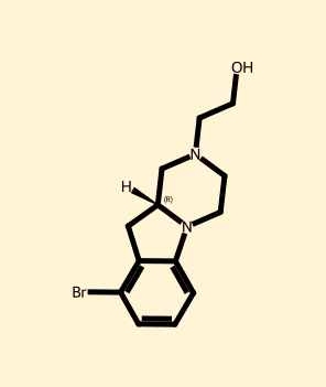 OCCN1CCN2c3cccc(Br)c3C[C@@H]2C1